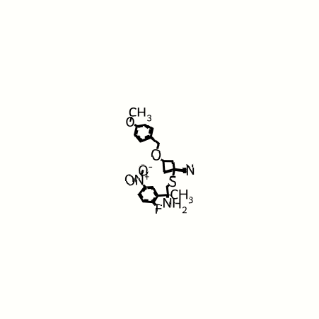 COc1ccc(COC2CC(C#N)(SC[C@](C)(N)c3cc([N+](=O)[O-])ccc3F)C2)cc1